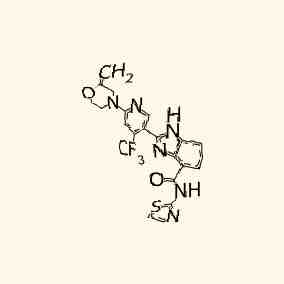 C=C1CN(c2cc(C(F)(F)F)c(-c3nc4c(C(=O)Nc5nccs5)cccc4[nH]3)cn2)CCO1